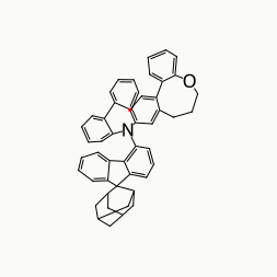 c1ccc(-c2ccccc2N(c2ccc3c(c2)CCCOc2ccccc2-3)c2cccc3c2-c2ccccc2C32C3CC4CC(C3)CC2C4)cc1